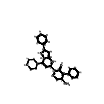 Nc1cnn(-c2cc(N3CCOCC3)n3nc(-c4ccncc4)cc3n2)c(=O)c1-c1ccccc1